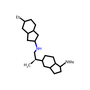 CCC1CCC2CC(NC[C@H](C)C3CCC4C(CCC4NC)C3)CC2C1